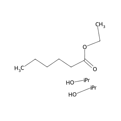 CC(C)O.CC(C)O.CCCCCC(=O)OCC